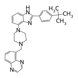 CC(C)(C)c1ccc(-c2nc3c(N4CCN(Cc5cccc6nccnc56)CC4)cccc3[nH]2)cc1